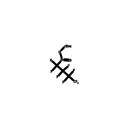 CCCCCCCCCC[O][Sn](=[O])[C](F)(F)C(F)(F)C(F)(F)C(F)(F)F